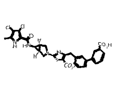 Cc1[nH]c(C(=O)NC2[C@H]3CN(c4nc(Cc5cccc(-c6cccc(C(=O)O)c6)c5)c(C(=O)O)s4)C[C@@H]23)c(Cl)c1Cl